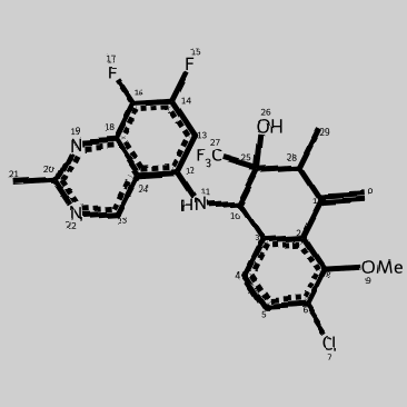 C=C1c2c(ccc(Cl)c2OC)C(Nc2cc(F)c(F)c3nc(C)ncc23)C(O)(C(F)(F)F)C1C